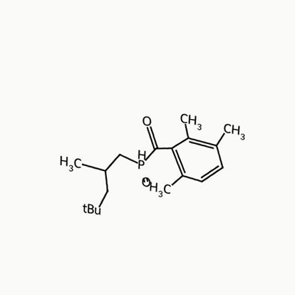 Cc1ccc(C)c(C(=O)[PH](=O)CC(C)CC(C)(C)C)c1C